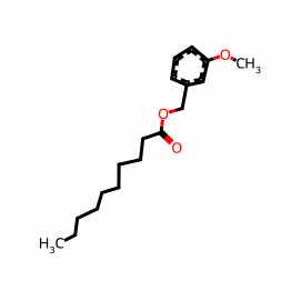 CCCCCCCCCC(=O)OCc1cccc(OC)c1